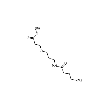 CNCCCC(=O)NCCCOCCC(=O)OC(C)(C)C